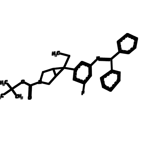 CCC1(c2cc(F)cc(N=C(c3ccccc3)c3ccccc3)c2)C2CN(C(=O)OC(C)(C)C)CC21